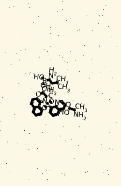 CC(C)C[C@H](N)B(O)O.C[C@@H](C(=O)O)N(c1cccc2ccccc12)S(=O)(=O)c1cccc2cccnc12.C[C@H](N)C(=O)O